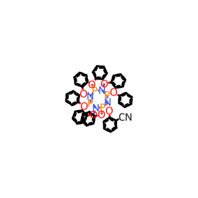 N#Cc1ccccc1OP1(Oc2ccccc2)=NP(Oc2ccccc2)N(Oc2ccccc2)P(Oc2ccccc2)N(Oc2ccccc2)P(Oc2ccccc2)N1Oc1ccccc1